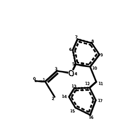 CC(C)=COc1ccccc1Cc1ccccc1